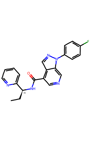 CC[C@H](NC(=O)c1cncc2c1cnn2-c1ccc(F)cc1)c1ccccn1